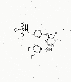 O=S(=O)(NCc1ccc(Nc2nc(Nc3ccc(F)c(F)c3)ncc2F)cc1)C1CC1